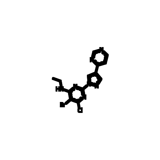 CCNc1nc(-n2cc(-c3ccncn3)cn2)nc(Cl)c1Br